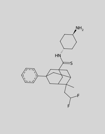 CC1(CC(F)F)C2CC3(C(=S)N[C@H]4CC[C@H](N)CC4)CC1CC(c1ccccc1)(C2)C3